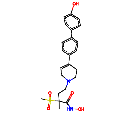 CC(CCN1CC=C(c2ccc(-c3ccc(O)cc3)cc2)CC1)(C(=O)NO)S(C)(=O)=O